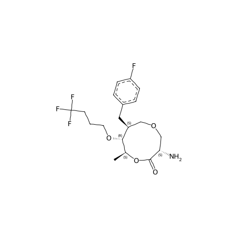 C[C@@H]1OC(=O)[C@@H](N)COC[C@H](Cc2ccc(F)cc2)[C@H]1OCCCC(F)(F)F